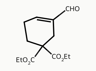 CCOC(=O)C1(C(=O)OCC)CCC=C(C=O)C1